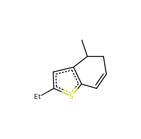 CCc1cc2c(s1)C=CCC2C